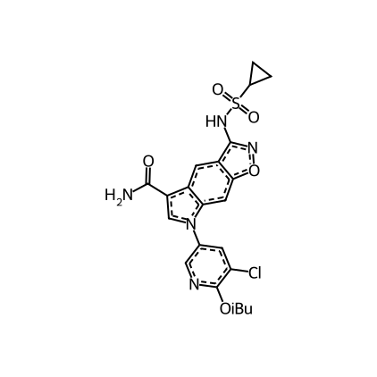 CC(C)COc1ncc(-n2cc(C(N)=O)c3cc4c(NS(=O)(=O)C5CC5)noc4cc32)cc1Cl